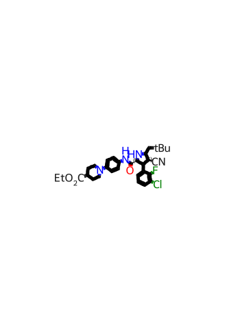 CCOC(=O)C1CCN(c2ccc(NC(=O)[C@@H]3NC(CC(C)(C)C)[C@@H](C#N)C3c3cccc(Cl)c3F)cc2)CC1